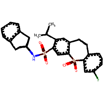 CC(C)c1cc2c(cc1S(=O)(=O)NC1Cc3ccccc3C1)S(=O)(=O)c1cc(F)ccc1CC2